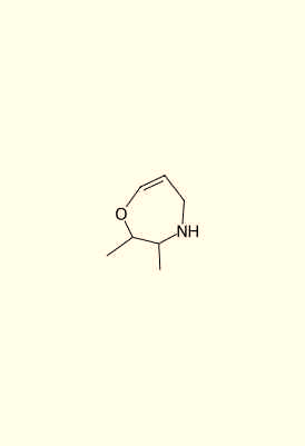 CC1NCC=COC1C